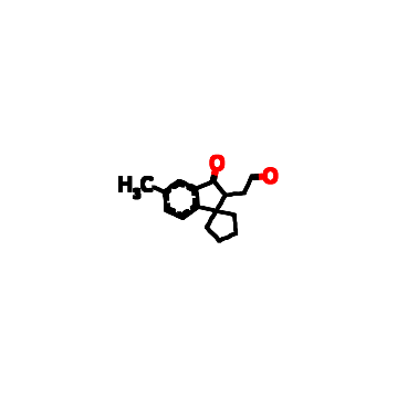 Cc1ccc2c(c1)C(=O)C(CC=O)C21CCCC1